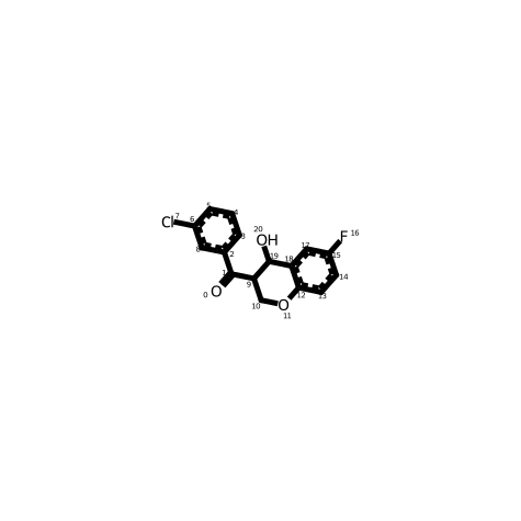 O=C(c1cccc(Cl)c1)C1COc2ccc(F)cc2C1O